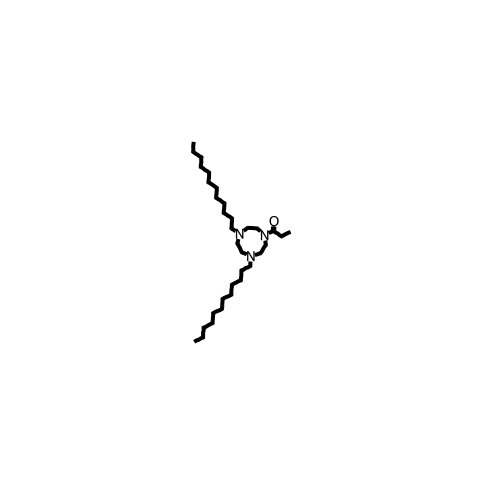 CCCCCCCCCCCCN1CCN(CCCCCCCCCCCC)CCN(C(=O)CC)CC1